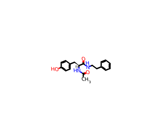 CC(=O)N[C@@H](Cc1ccc(O)cc1)C(=O)NCCc1ccccc1